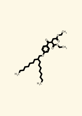 CCCCCCCCC(CCCCCCCC)COc1ccc(C(=O)C(CC(=O)OCC)C(=O)OCC)cc1